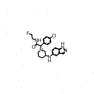 O=C(NCCF)C(c1ccc(Cl)cc1)N1CCCC(Nc2ccc3[nH]ncc3c2)C1